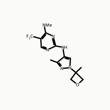 CNc1nc(Nc2cn(C3(C)COC3)nc2C)ncc1C(F)(F)F